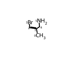 CC(=CBr)CN